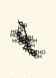 C[C@@H]1O[C@@H](O[C@H]2[C@H](OC(=O)[C@]34CCC(C)(C)C[C@H]3C3=CC[C@@H]5[C@@]6(C)CC[C@H](O)[C@@](C)(C=O)[C@@H]6CC[C@@]5(C)[C@]3(C)C[C@H]4O)O[C@H](CO)[C@H](NC(=O)CCCCCNC(=O)c3ccc(I)cc3)[C@@H]2O)[C@H](O)[C@H](O)[C@H]1O[C@@H]1OC[C@@H](O)[C@H](O)[C@H]1O